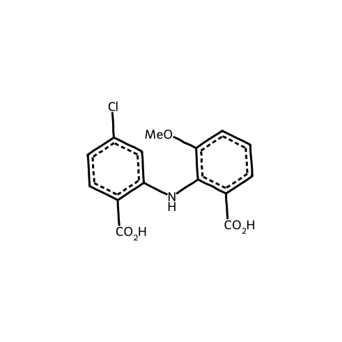 COc1cccc(C(=O)O)c1Nc1cc(Cl)ccc1C(=O)O